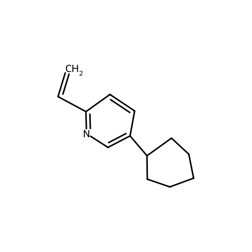 C=Cc1ccc(C2CCCCC2)cn1